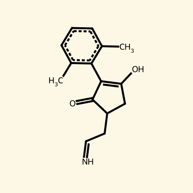 Cc1cccc(C)c1C1=C(O)CC(CC=N)C1=O